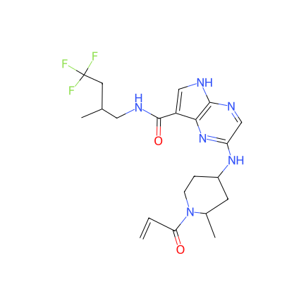 C=CC(=O)N1CCC(Nc2cnc3[nH]cc(C(=O)NCC(C)CC(F)(F)F)c3n2)CC1C